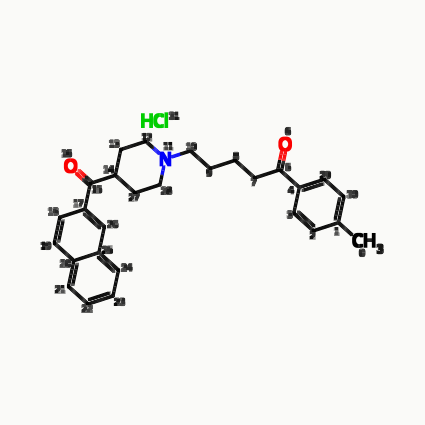 Cc1ccc(C(=O)CCCCN2CCC(C(=O)c3ccc4ccccc4c3)CC2)cc1.Cl